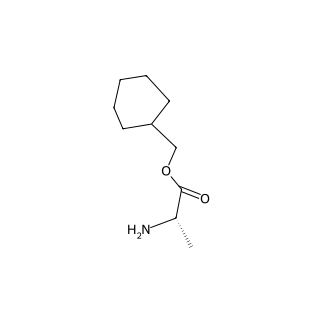 C[C@H](N)C(=O)OCC1CCCCC1